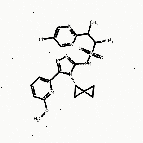 COc1cccc(-c2nnc(NS(=O)(=O)C(C)C(C)c3ncc(Cl)cn3)n2[C@H]2CC23CC3)n1